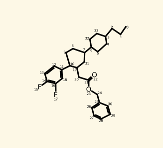 CCCC1CCC(C2CCC(c3ccc(F)c(F)c3)C(CC(=O)OCc3ccccc3)C2)CC1